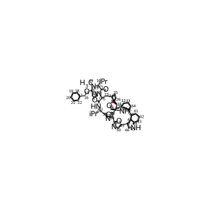 CC(C)[C@@H]1NC(=O)[C@@H](NC(=O)[C@H](C(C)C)N(C)C(=O)OCc2ccccc2)Cc2ccc3c(c2)C24c5cccc(c5NC2O3)-c2cccc3[nH]cc(c23)-c2cnc(o2)-c2nc1oc24